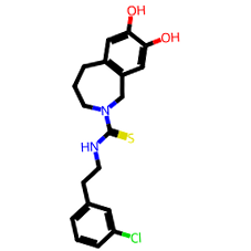 Oc1cc2c(cc1O)CN(C(=S)NCCc1cccc(Cl)c1)CCC2